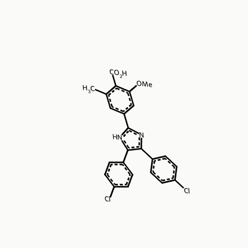 COc1cc(-c2nc(-c3ccc(Cl)cc3)c(-c3ccc(Cl)cc3)[nH]2)cc(C)c1C(=O)O